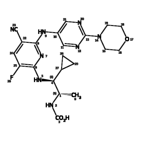 C[C@H](NC(=O)O)[C@@H](Nc1nc(Nc2cnc(N3CCOCC3)nc2)c(C#N)cc1F)C1CC1